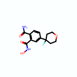 NC(=O)c1ccc(C2(F)CCOCC2)cc1C(=O)NO